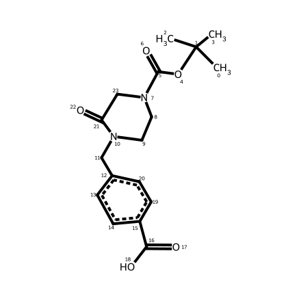 CC(C)(C)OC(=O)N1CCN(Cc2ccc(C(=O)O)cc2)C(=O)C1